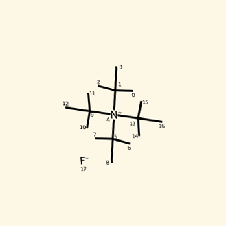 CC(C)(C)[N+](C(C)(C)C)(C(C)(C)C)C(C)(C)C.[F-]